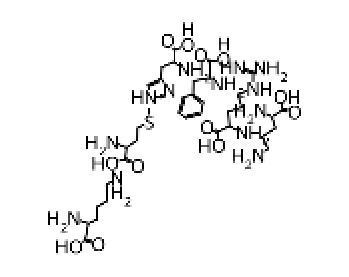 CSCCC(N)C(=O)O.N=C(N)NCCCC(N)C(=O)O.NC(Cc1c[nH]cn1)C(=O)O.NC(Cc1ccccc1)C(=O)O.NCCCC(N)C(=O)O.NCCCCC(N)C(=O)O